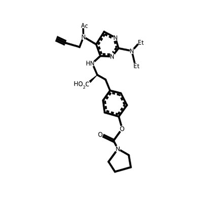 C#CCN(C(C)=O)c1cnc(N(CC)CC)nc1N[C@@H](Cc1ccc(OC(=O)N2CCCC2)cc1)C(=O)O